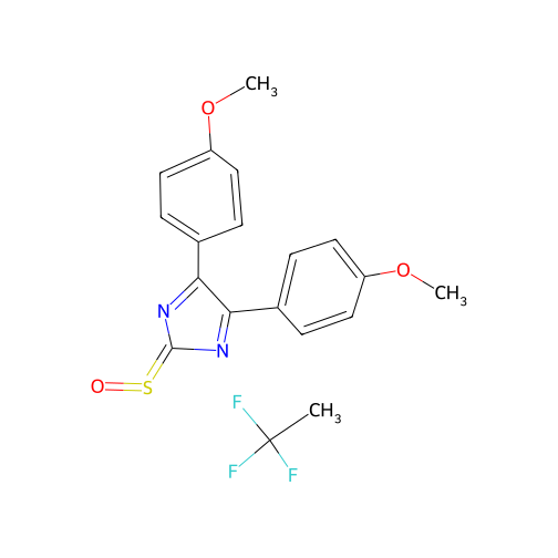 CC(F)(F)F.COc1ccc(C2=NC(=S=O)N=C2c2ccc(OC)cc2)cc1